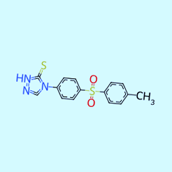 Cc1ccc(S(=O)(=O)c2ccc(-n3cn[nH]c3=S)cc2)cc1